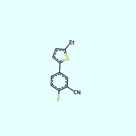 CCc1ccc(-c2ccc(F)c(C#N)c2)s1